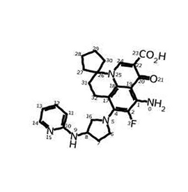 Nc1c(F)c(N2CCC(Nc3ccccn3)C2)c2c3c1c(=O)c(C(=O)O)cn3C1(CCCC1)CC2